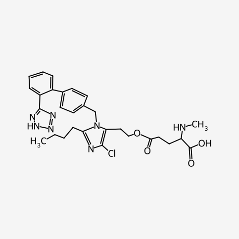 CCCCc1nc(Cl)c(CCOC(=O)CCC(NC)C(=O)O)n1Cc1ccc(-c2ccccc2-c2nn[nH]n2)cc1